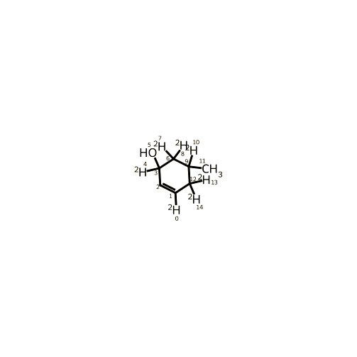 [2H]C1=CC([2H])(O)C([2H])([2H])C([2H])(C)C1([2H])[2H]